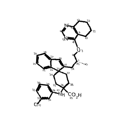 C[C@@H](COc1ncnc2c1CCCC2)CC1=Cc2ccccc2C12CCC(Nc1cccc(Cl)c1)(C(=O)O)CC2